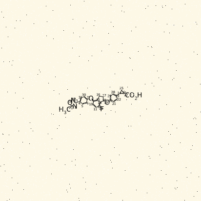 Cc1nc(-c2ccc(Oc3ccc(F)c4c3CC[C@H]4Oc3ccc([C@H]4C[C@@H]4C(=O)O)cc3)cc2)no1